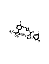 Cc1onc(N)c1-c1cc(OC2CN(C(=O)N3N=CC[C@H]3c3cc(F)cc(F)c3)C2)c(F)cn1